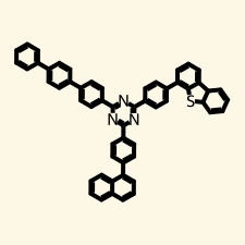 C1=CC2Sc3c(-c4ccc(-c5nc(-c6ccc(-c7ccc(-c8ccccc8)cc7)cc6)nc(-c6ccc(-c7cccc8ccccc78)cc6)n5)cc4)cccc3C2C=C1